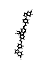 CCC1(CC)c2cc(/C=C/c3ccc(N4CCC5=C4C=CC(C)C5)cc3)ccc2-c2ccc(/C=C/c3ccc(N4CCC5=C4C=CC(C)C5)cc3)cc21